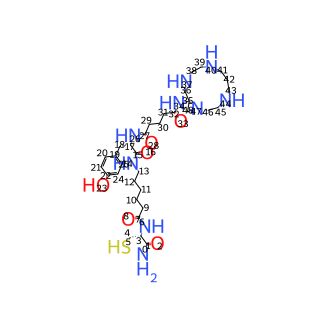 NC(=O)[C@H](CS)NC(=O)CCCCCNC(=O)[C@H](Cc1ccc(O)cc1)NC(=O)CCCC(=O)N[C@@]12CNCCNCCCNCC[N@]1C2